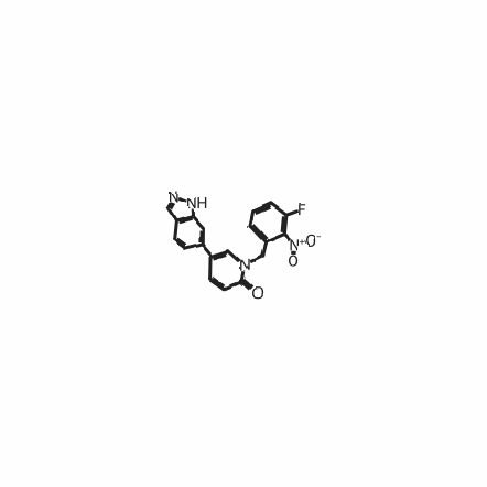 O=c1ccc(-c2ccc3cn[nH]c3c2)cn1Cc1cccc(F)c1[N+](=O)[O-]